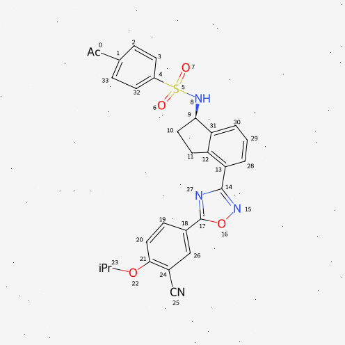 CC(=O)c1ccc(S(=O)(=O)N[C@@H]2CCc3c(-c4noc(-c5ccc(OC(C)C)c(C#N)c5)n4)cccc32)cc1